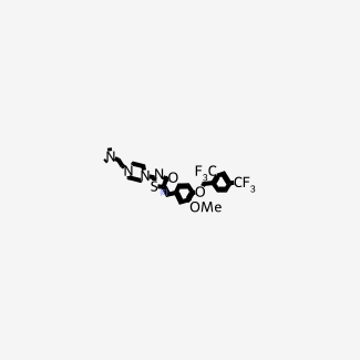 COc1cc(/C=C2/SC(N3CCN(CCN(C)C)CC3)=NC2=O)ccc1OCc1ccc(C(F)(F)F)cc1C(F)(F)F